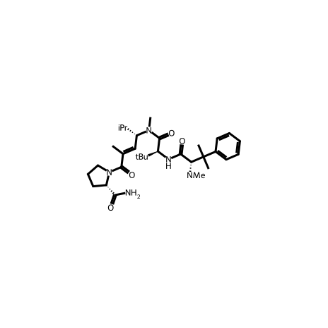 CN[C@H](C(=O)N[C@H](C(=O)N(C)[C@H](/C=C(\C)C(=O)N1CCC[C@H]1C(N)=O)C(C)C)C(C)(C)C)C(C)(C)c1ccccc1